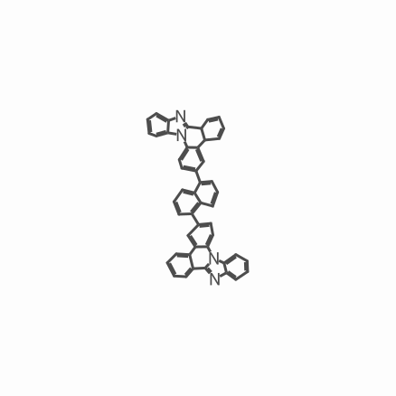 C1=CC2c3cc(-c4cccc5c(-c6ccc7c(c6)c6ccccc6c6nc8ccccc8n76)cccc45)ccc3-n3c(nc4ccccc43)C2C=C1